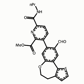 CCCNC(=O)c1ccc(-c2cc3c(cc2C=O)-c2sccc2CCO3)c(C(=O)OC)n1